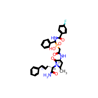 CC1C[C@H](NC(=O)CP(=O)(O)C(NC(=O)c2ccc(F)cc2)c2ccccc2)C(=O)N1[C@@H](C/C=C/c1ccccc1)C(N)=O